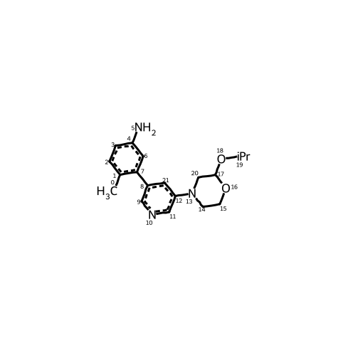 Cc1ccc(N)cc1-c1cncc(N2CCOC(OC(C)C)C2)c1